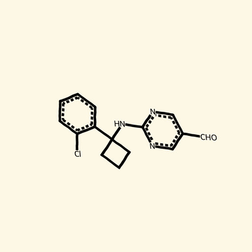 O=Cc1cnc(NC2(c3ccccc3Cl)CCC2)nc1